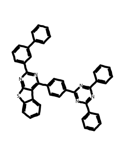 c1ccc(-c2cccc(-c3nc(-c4ccc(-c5nc(-c6ccccc6)nc(-c6ccccc6)n5)cc4)c4c(n3)sc3ccccc34)c2)cc1